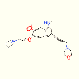 CNc1cc(C#CCN2CCOCC2)cc2cc(OCCCN3CCCC3)c(OC)cc12